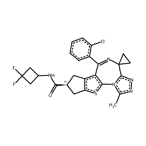 Cc1nnc2n1-c1sc3c(c1C(c1ccccc1Cl)=NC21CC1)C[C@H](C(=O)NC1CC(F)(F)C1)C3